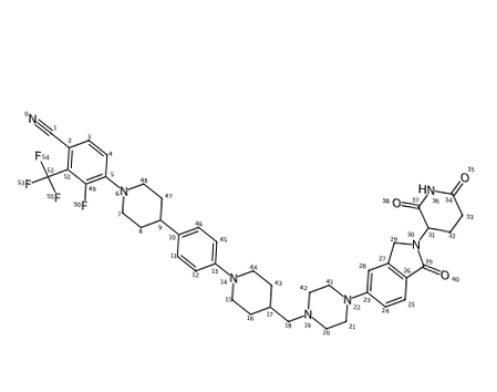 N#Cc1ccc(N2CCC(c3ccc(N4CCC(CN5CCN(c6ccc7c(c6)CN(C6CCC(=O)NC6=O)C7=O)CC5)CC4)cc3)CC2)c(F)c1C(F)(F)F